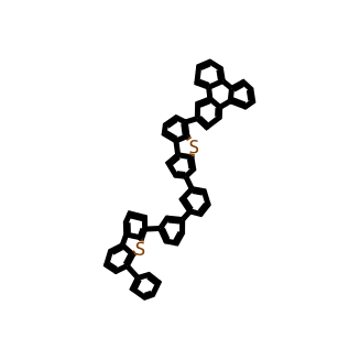 c1ccc(-c2cccc3c2sc2c(-c4cccc(-c5cccc(-c6ccc7c(c6)sc6c(-c8ccc9c%10ccccc%10c%10ccccc%10c9c8)cccc67)c5)c4)cccc23)cc1